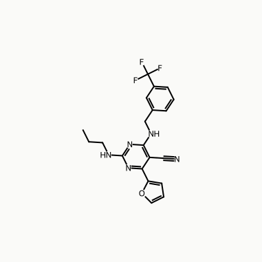 CCCNc1nc(NCc2cccc(C(F)(F)F)c2)c(C#N)c(-c2ccco2)n1